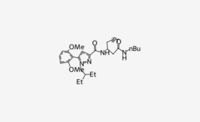 CCCCNC(=O)CC(CC(C)C)NC(=O)c1cc(-c2c(OC)cccc2OC)n(CC(CC)CC)n1